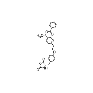 CC(OC(=O)c1ccccc1)c1ccc(CCOc2ccc(CC3NC(=O)SC3=O)cc2)nc1